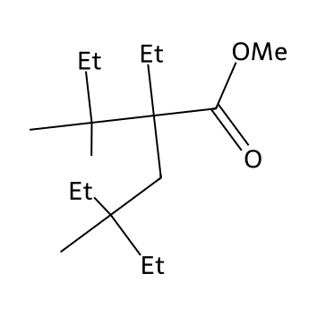 CCC(C)(CC)CC(CC)(C(=O)OC)C(C)(C)CC